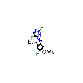 CCC1c2cc(F)c(OC)cc2CN1c1nc(Cl)ncc1F